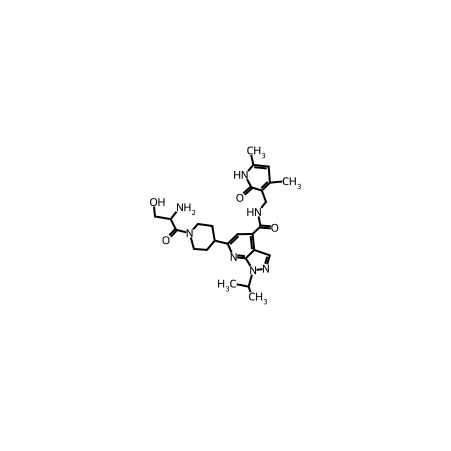 Cc1cc(C)c(CNC(=O)c2cc(C3CCN(C(=O)C(N)CO)CC3)nc3c2cnn3C(C)C)c(=O)[nH]1